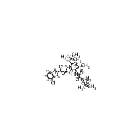 CC[C@@H]1C[C@]1(NC(=O)[C@@H]1C[C@@H](OC(=O)N2Cc3cccc(Cl)c3C2)CN1C(=O)CC(C)(C)C)C(=O)NOC(C)(C)C